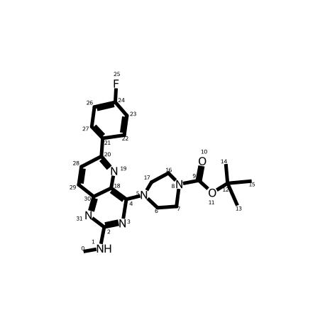 CNc1nc(N2CCN(C(=O)OC(C)(C)C)CC2)c2nc(-c3ccc(F)cc3)ccc2n1